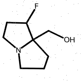 OCC12CCCN1CCC2F